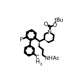 CC(=O)NCCC[C@@H](c1cccc(F)c1-c1cccc(C)c1)[C@@H]1CCCN(C(=O)OC(C)(C)C)C1